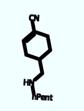 CCCCCNCC1CC=C(C#N)CC1